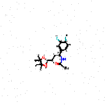 CC(C)(C)C(=O)N[C@@H](CCB1OC(C)(C)C(C)(C)O1)c1ccc(F)c(F)c1